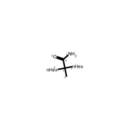 CCCCCCC(C)(CCCCCC)C(N)=O